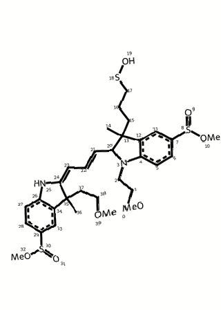 COCCN1c2ccc(S(=O)OC)cc2C(C)(CCCSO)C1/C=C/C=C1/Nc2ccc(S(=O)OC)cc2C1(C)CCOC